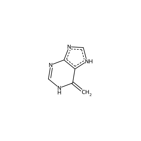 C=C1NC=Nc2nc[nH]c21